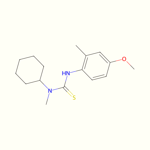 COc1ccc(NC(=S)N(C)C2CCCCC2)c(C)c1